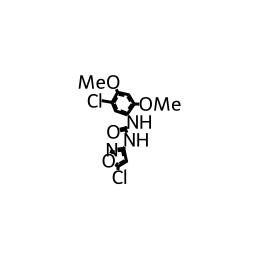 COc1cc(OC)c(NC(=O)Nc2cc(Cl)on2)cc1Cl